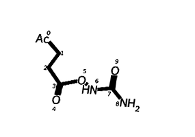 CC(=O)CCC(=O)ONC(N)=O